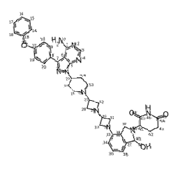 Nc1ncnc2c1c(-c1ccc(Oc3ccccc3)cc1)nn2C1CCN(C2CN(C3CN(c4cccc5c4CN(C4CCC(=O)NC4=O)C5O)C3)C2)CC1